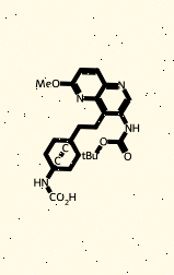 COc1ccc2ncc(NC(=O)OC(C)(C)C)c(CCC34CCC(NC(=O)O)(CC3)CC4)c2n1